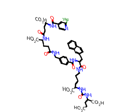 O=C(O)CCC(NC(=O)NC(CCCCNC(=O)C(Cc1ccc2ccccc2c1)NC(=O)c1ccc(CNC(=O)CCC(NC(=O)CCC(NC(=O)c2ccnc([18F])c2)C(=O)O)C(=O)O)cc1)C(=O)O)C(=O)O